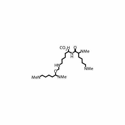 CNCCCCC(NC)OCNCCCCC(NC(=O)C(CCCCNC)NC)C(=O)O